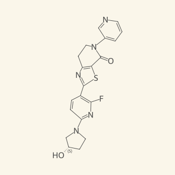 O=C1c2sc(-c3ccc(N4CC[C@H](O)C4)nc3F)nc2CCN1c1cccnc1